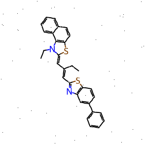 CCC(/C=C1\Sc2ccc3ccccc3c2N1CC)=C\c1nc2cc(-c3ccccc3)ccc2s1